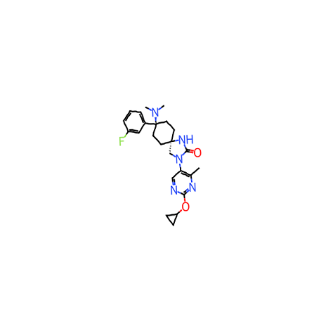 Cc1nc(OC2CC2)ncc1N1C[C@]2(CC[C@](c3cccc(F)c3)(N(C)C)CC2)NC1=O